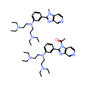 CCN(CC)CCN(CCN(CC)CC)c1cccc(-c2nc3cnccc3n2C(C)=O)c1.CCN(CC)CCN(CCN(CC)CC)c1cccc(-c2nc3cnccc3n2C)c1